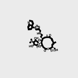 CC[C@H]1OC(=O)C[C@@H](O)[C@H](C)[C@@H](O[C@@H]2O[C@H](C)[C@@H](O)C(N(C)C)C2O)[C@@H](CCNCc2cn(-c3cccc4ncccc34)nn2)C[C@@H](C)C(=O)/C=C/C(C)=C/[C@@H]1CO